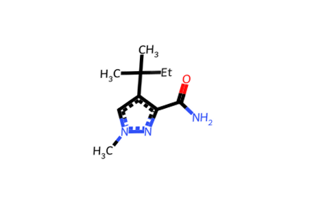 CCC(C)(C)c1cn(C)nc1C(N)=O